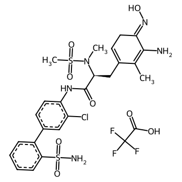 CC1=C(N)C(=NO)CC=C1C[C@@H](C(=O)Nc1ccc(-c2ccccc2S(N)(=O)=O)cc1Cl)N(C)S(C)(=O)=O.O=C(O)C(F)(F)F